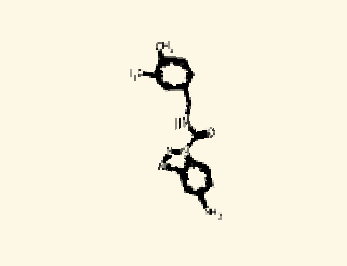 Cc1ccc(CNC(=O)n2nnc3cc(N)ccc32)cc1C